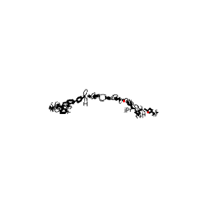 Cc1ncsc1-c1ccc(CNC(=O)C2CC(O)CN2C(=O)C(c2cc(OCCOCCOCCOCCOCCNC(=O)c3ccc(-c4ccc5c(c4)C(=O)N(C(C(=O)Nc4nccs4)c4cc(F)ccc4O)C5)cc3)no2)C(C)C)cc1